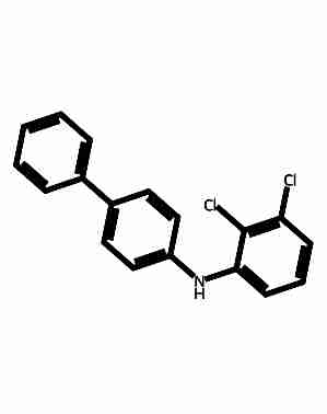 Clc1cccc(Nc2ccc(-c3ccccc3)cc2)c1Cl